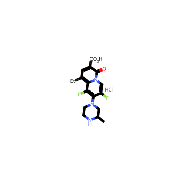 CCc1cc(C(=O)O)c(=O)n2cc(F)c(N3CCNC(C)C3)c(F)c12.Cl